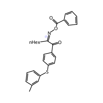 CCCCCC/C(=N/OC(=O)c1ccccc1)C(=O)c1ccc(Sc2cccc(C)c2)cc1